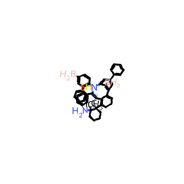 Bc1ccc(N2/C(c3ccccc3S)=C\C3=C(C4(C)CCCCC4(C)N)CCC=C3c3cc(-c4ccccc4)cc2c3B)c(-c2ccccc2)c1